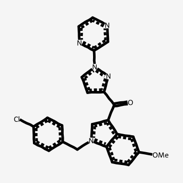 COc1ccc2c(c1)c(C(=O)c1ccn(-c3cnccn3)n1)cn2Cc1ccc(Cl)cc1